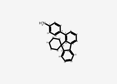 Nc1ccc(-c2cccc3c2C2(CCCCC2)c2ccccc2-3)cc1